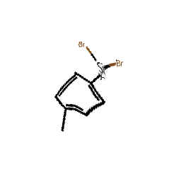 Cc1ccc([SiH](Br)Br)cc1